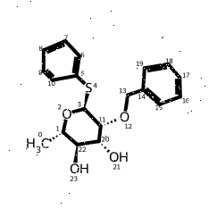 C[C@@H]1O[C@@H](Sc2ccccc2)[C@H](OCc2ccccc2)[C@H](O)[C@H]1O